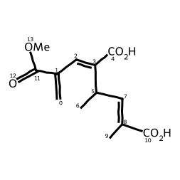 C=C(C=C(C(=O)O)C(C)C=C(C)C(=O)O)C(=O)OC